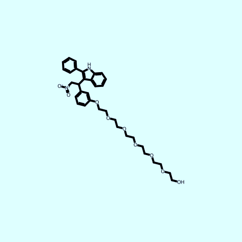 O=[N+]([O-])CC(c1cccc(OCCOCCOCCOCCOCCOCCO)c1)c1c(-c2ccccc2)[nH]c2ccccc12